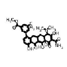 COC(=O)c1cc(C)cc(-c2ccc(O)c3c2CC2CC4C(N(C)C)C(O)=C(C(N)=O)C(=O)C4(O)C(O)=C2C3=O)c1